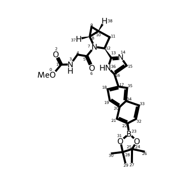 COC(=O)NCC(=O)N1[C@@H]2C[C@@H]2C[C@H]1c1ncc(-c2ccc3cc(B4OC(C)(C)C(C)(C)O4)ccc3c2)[nH]1